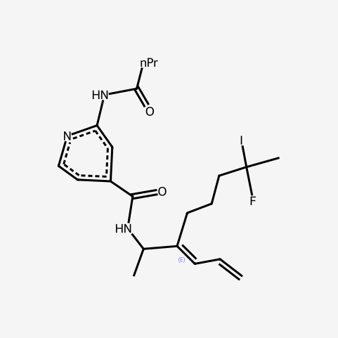 C=C/C=C(\CCCC(C)(F)I)C(C)NC(=O)c1ccnc(NC(=O)CCC)c1